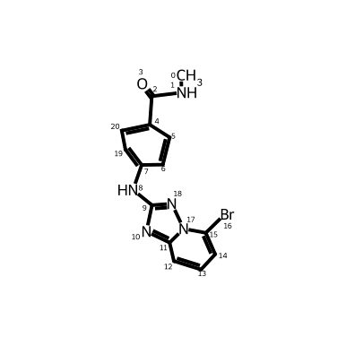 CNC(=O)c1ccc(Nc2nc3cccc(Br)n3n2)cc1